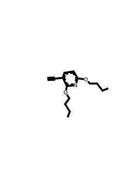 C#Cc1ccc(OCCCC)nc1OCCCC